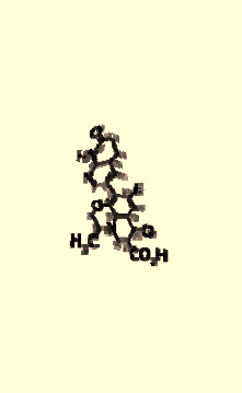 CC1COc2c(-c3cnc4[nH]c(=O)ccc4c3)c(F)cc3c(=O)c(C(=O)O)cn1c23